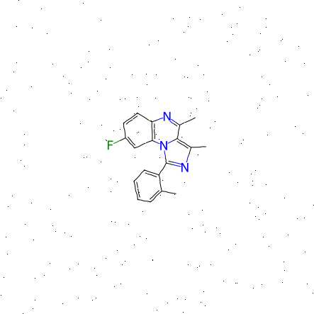 Cc1ccccc1-c1nc(C)c2c(C)nc3ccc(F)cc3n12